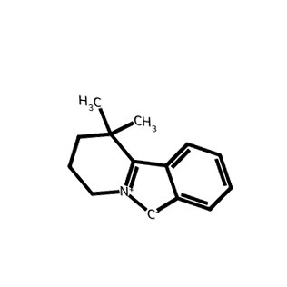 CC1(C)CCC[n+]2[cH-]c3ccccc3c21